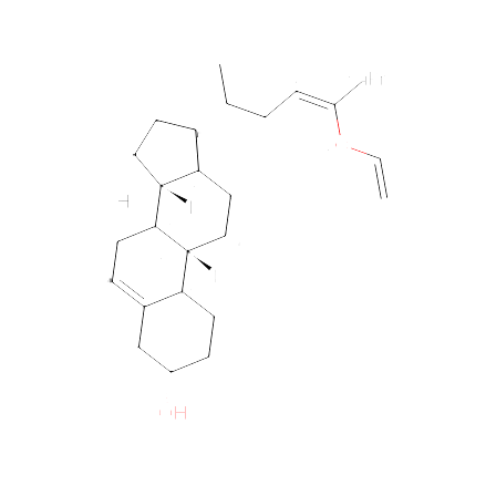 C=COC(=CCC(C)[C@H]1CC[C@H]2[C@@H]3CC=C4C[C@@H](O)CC[C@]4(C)[C@H]3CC[C@]12C)C(C)C